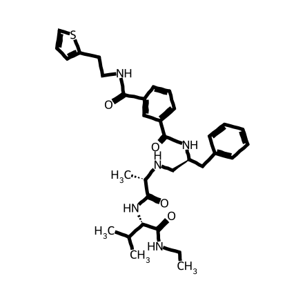 CCNC(=O)[C@@H](NC(=O)[C@H](C)NC[C@H](Cc1ccccc1)NC(=O)c1cccc(C(=O)NCCc2cccs2)c1)C(C)C